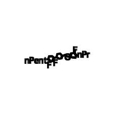 CCCCCc1ccc(C2CC=C(COc3ccc(CCC)c(F)c3)CC2)c(F)c1F